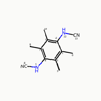 Cc1c(C)c(NC#N)c(C)c(C)c1NC#N